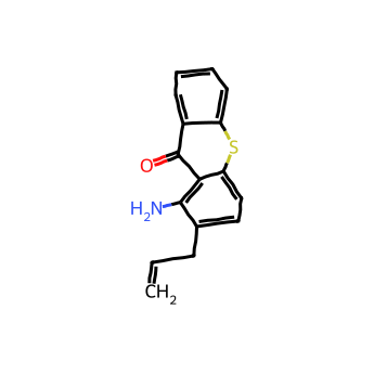 C=CCc1ccc2sc3ccccc3c(=O)c2c1N